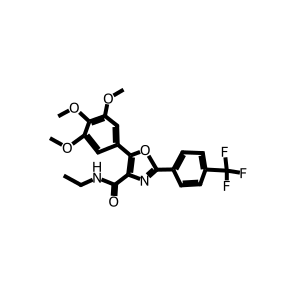 CCNC(=O)c1nc(-c2ccc(C(F)(F)F)cc2)oc1-c1cc(OC)c(OC)c(OC)c1